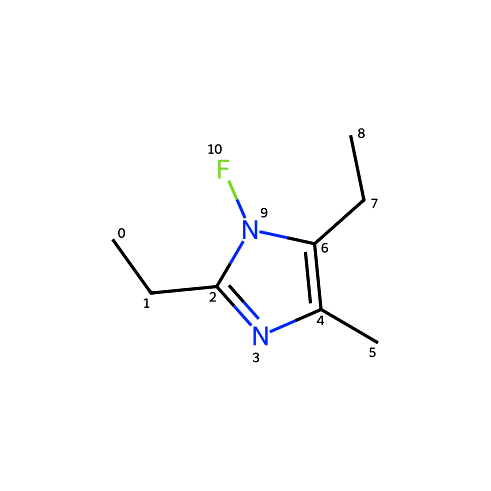 CCc1nc(C)c(CC)n1F